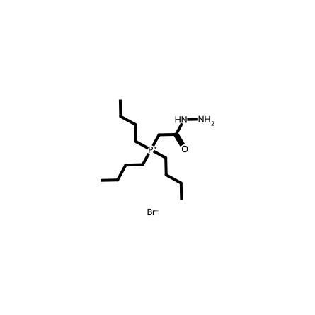 CCCC[P+](CCCC)(CCCC)CC(=O)NN.[Br-]